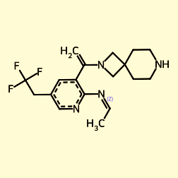 C=C(c1cc(CC(F)(F)F)cnc1/N=C\C)N1CC2(CCNCC2)C1